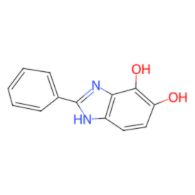 Oc1ccc2[nH]c(-c3ccccc3)nc2c1O